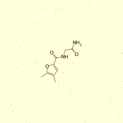 Cc1cc(C(=O)NCC(N)=O)oc1C